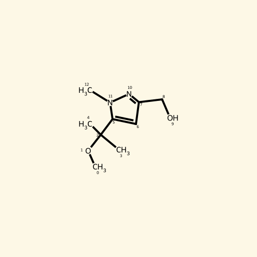 COC(C)(C)c1cc(CO)nn1C